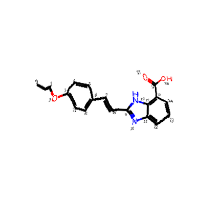 CCOc1ccc(C=Cc2nc3cccc(C(=O)O)c3[nH]2)cc1